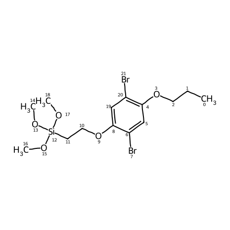 CCCOc1cc(Br)c(OCC[Si](OC)(OC)OC)cc1Br